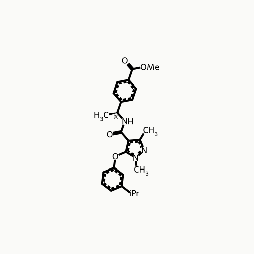 COC(=O)c1ccc([C@H](C)NC(=O)c2c(C)nn(C)c2Oc2cccc(C(C)C)c2)cc1